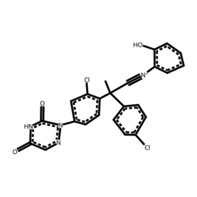 CC(C#[N+]c1ccccc1O)(c1ccc(Cl)cc1)c1ccc(-n2ncc(=O)[nH]c2=O)cc1Cl